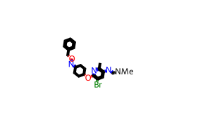 CN/C=N/c1cc(Br)c(OC2CCC(=NOCc3ccccc3)CC2)nc1C